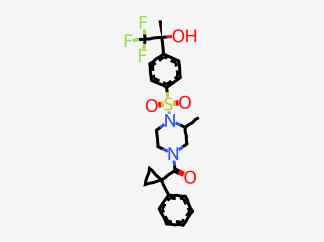 CC1CN(C(=O)C2(c3ccccc3)CC2)CCN1S(=O)(=O)c1ccc([C@@](C)(O)C(F)(F)F)cc1